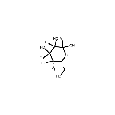 [2H]C1(O)O[C@H](CO)[C@@]([2H])(O)[C@]([2H])(O)[C@]1([2H])O